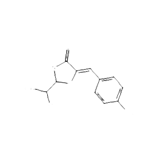 CCCCC(Cl)C1NC(=O)/C(=C/c2ccc(C(F)(F)F)cc2)O1